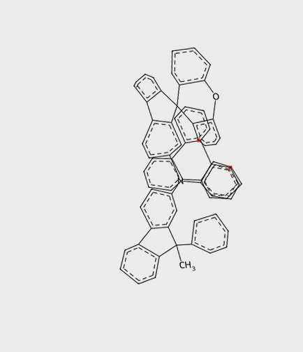 CC1(c2ccccc2)c2ccccc2-c2ccc(N(c3ccc4c(c3)C3(c5ccccc5Oc5ccccc53)c3ccccc3-4)c3ccccc3-c3ccccc3-c3ccccc3-c3ccccc3)cc21